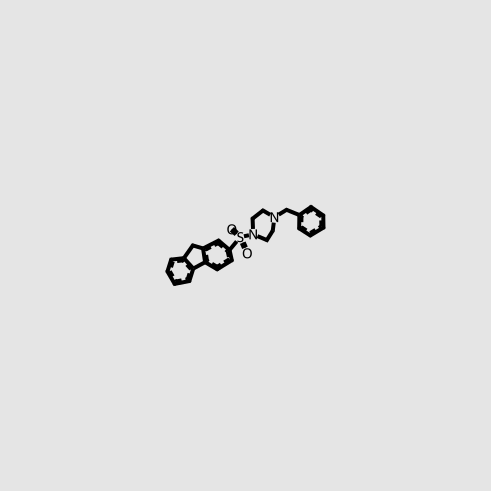 O=S(=O)(c1ccc2c(c1)Cc1ccccc1-2)N1CCN(Cc2ccccc2)CC1